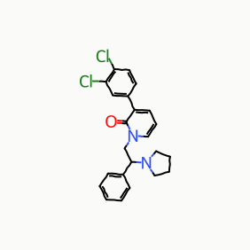 O=c1c(-c2ccc(Cl)c(Cl)c2)cccn1CC(c1ccccc1)N1CCCC1